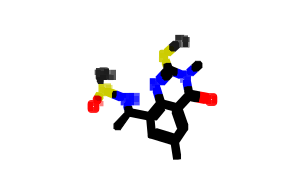 CCSc1nc2c([C@@H](C)N[S@+]([O-])C(C)(C)C)cc(C)cc2c(=O)n1C